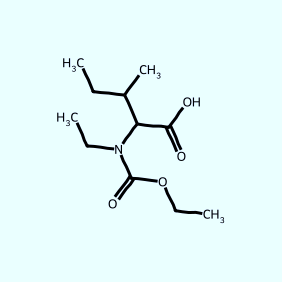 CCOC(=O)N(CC)C(C(=O)O)C(C)CC